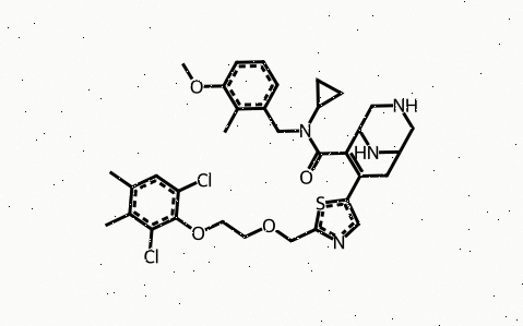 COc1cccc(CN(C(=O)C2=C(c3cnc(COCCOc4c(Cl)cc(C)c(C)c4Cl)s3)CC3CNCC2N3)C2CC2)c1C